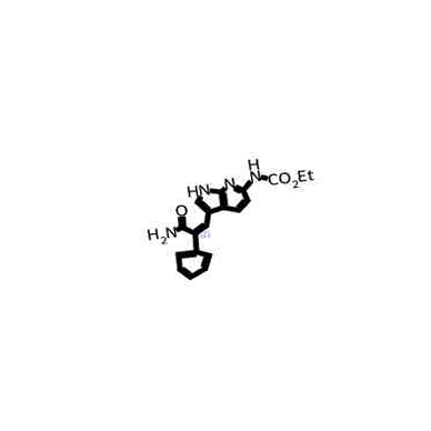 CCOC(=O)Nc1ccc2c(/C=C(\C(N)=O)c3ccccc3)c[nH]c2n1